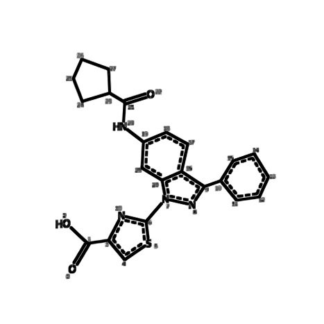 O=C(O)c1csc(-n2nc(-c3ccccc3)c3ccc(NC(=O)C4CCCC4)cc32)n1